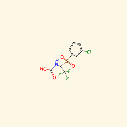 O=C(O)NC(C(F)(F)F)S(=O)(=O)c1cccc(Cl)c1